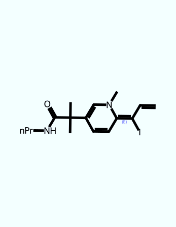 C=C/C(I)=C1/C=CC(C(C)(C)C(=O)NCCC)=CN1C